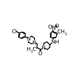 Cc1cc(NC2CCN(C(=O)C(C)CN3CCN(c4ccc(Cl)cc4)CC3)CC2)ccc1[N+](=O)[O-]